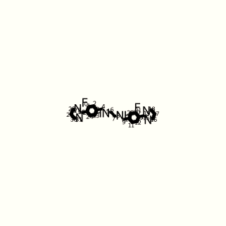 Fc1cc(CNCCNCc2ccc(-c3ncccn3)c(F)c2)ccc1-c1ncccn1